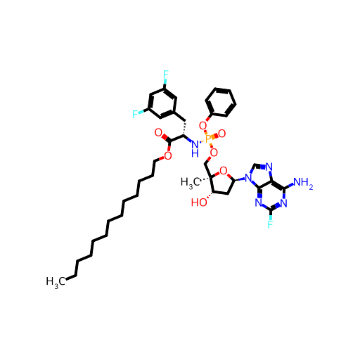 CCCCCCCCCCCCCOC(=O)[C@H](Cc1cc(F)cc(F)c1)N[P@](=O)(OC[C@@]1(C)O[C@@H](n2cnc3c(N)nc(F)nc32)C[C@@H]1O)Oc1ccccc1